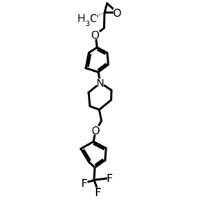 C[C@]1(COc2ccc(N3CCC(COc4ccc(C(F)(F)F)cc4)CC3)cc2)CO1